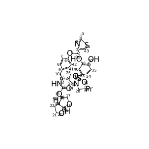 Cc1nc(COc2ccc(C[C@H](NC(=O)O[C@H]3CO[C@H]4OCC[C@H]43)C(C)CN(CC(C)C)S(=O)(=O)c3ccc(O)c(O)c3)cc2)cs1